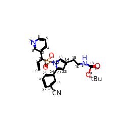 C=CC(c1cccnc1)S(=O)(=O)n1cc(CCNC(=O)OC(C)(C)C)cc1-c1cccc(C#N)c1